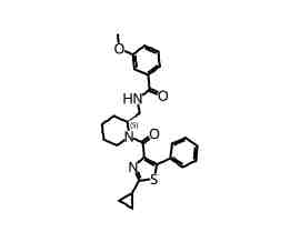 COc1cccc(C(=O)NC[C@@H]2CCCCN2C(=O)c2nc(C3CC3)sc2-c2ccccc2)c1